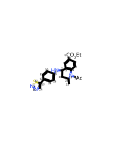 CCOC(=O)c1ccc2c(c1)C(Nc1ccc(-c3cnns3)cc1)CC(C)N2C(C)=O